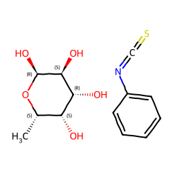 C[C@@H]1O[C@@H](O)[C@@H](O)[C@H](O)[C@@H]1O.S=C=Nc1ccccc1